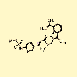 C=C(C)c1cccc2c(C)c(CN(C)C(=O)/C=C/c3ccc(NS(=O)(=O)NC)nc3)oc12